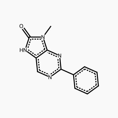 Cn1c(=O)[nH]c2cnc(-c3ccccc3)nc21